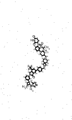 CC(C)n1c(=O)n(C2CCC(=O)NC2=O)c2cccc(N3CCC(CN4CCC5(CC4)CN(Cc4ccc(-c6cc7c(c(C(F)(F)F)c6)CN(c6cccc([C@]8(Cc9nncn9C)C[C@@H](C)C8)c6)C7=O)cc4)C5)CC3)c21